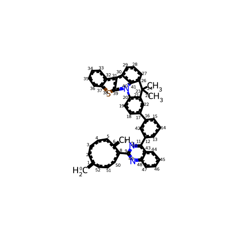 C=c1ccccc(=C)c(-c2nc(-c3cccc(-c4ccc5c(c4)C(C)(C)c4cccc6c7c8ccccc8sc7n-5c46)c3)c3ccccc3n2)ccc1